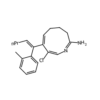 CCC/C=C(/C1=CCCC/C(N)=N\C=C/1Cl)c1ccccc1C